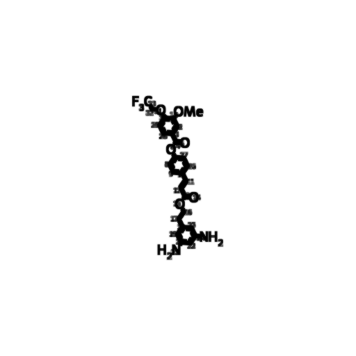 COc1cc(C(=O)Oc2ccc(/C=C/C(=O)OCCc3cc(N)cc(N)c3)cc2)ccc1OCC(F)(F)F